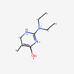 CCN(CC)C1=NC(O)=C(C)[CH]N1